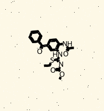 CCS/C(=N\C(=O)OC)Nc1cc(C(=O)c2ccccc2)ccc1NC(C)=O